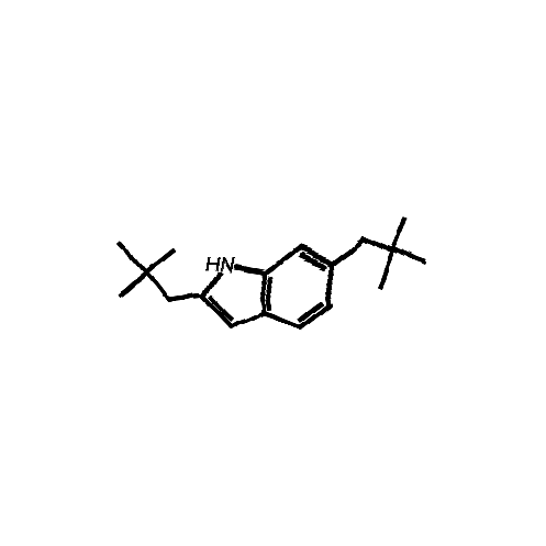 CC(C)(C)Cc1ccc2cc(CC(C)(C)C)[nH]c2c1